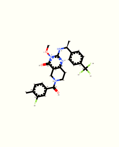 COn1c(N[C@@H](C)c2ccc(C(F)(F)F)cc2)nc2c(c1=O)CN(C(=O)c1ccc(C)c(F)c1)CC2